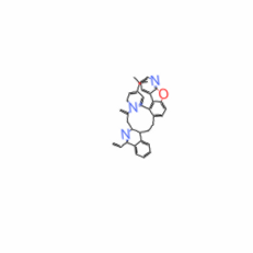 C=CC1=NC2CC(=C)[n+]3ccc(C(C)C)cc3-c3c(ccc4oc5ncccc5c34)CCC2c2ccccc21